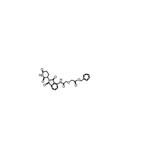 O=C1CCC(N2C(=O)c3cccc(NC(=O)COCC(=O)OCc4ccccc4)c3C2=O)C(=O)N1